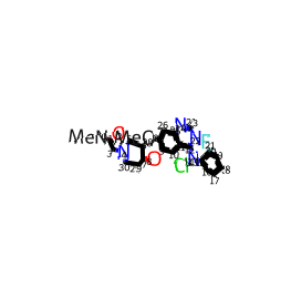 CNC(=O)CN1CCC(Oc2cc3c(N(Cl)c4ccccc4F)ncnc3cc2OC)CC1